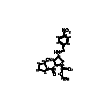 CC(C)(C)OC(=O)N1C[C@@H](NCc2ccc([N+](=O)[O-])cc2)C[C@H]1C(=O)N1CCC[C@H]1C#N